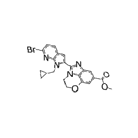 COC(=O)c1cc2c3c(c1)nc(-c1cc4ccc(Br)nc4n1CC1CC1)n3CCO2